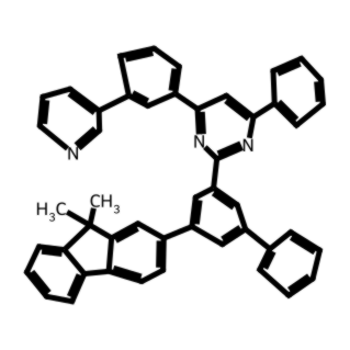 CC1(C)c2ccccc2-c2ccc(-c3cc(-c4ccccc4)cc(-c4nc(-c5ccccc5)cc(-c5cccc(-c6cccnc6)c5)n4)c3)cc21